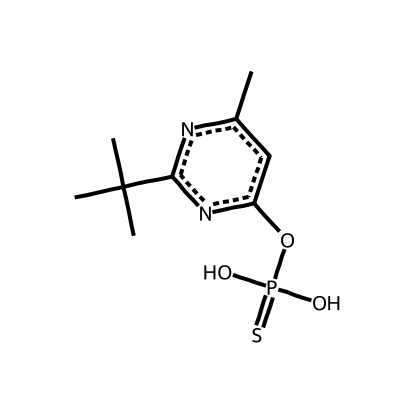 Cc1cc(OP(O)(O)=S)nc(C(C)(C)C)n1